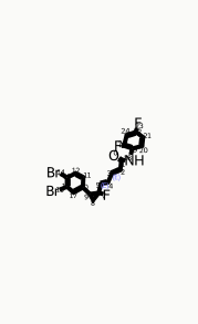 O=C(/C=C/C=C/C1(F)CC1c1ccc(Br)c(Br)c1)Nc1ccc(F)cc1F